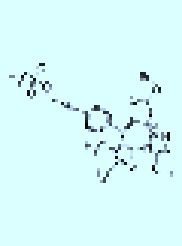 Cc1sc2c(c1C)C(c1ccc(C#CCOS(C)(=O)=O)cc1)=N[C@@H](CC(=O)OC(C)(C)C)c1nnc(C)n1-2